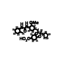 COc1cc(CC(=O)C(F)(Oc2ccc(C(=O)O)cc2)N2CCCC2)ccc1NC(=O)Nc1ccccc1C